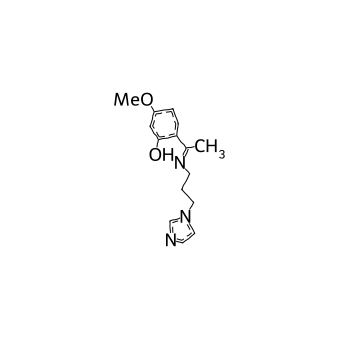 COc1ccc(/C(C)=N/CCCn2ccnc2)c(O)c1